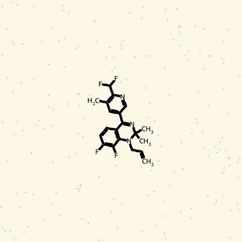 C=CCN1c2c(ccc(F)c2F)C(c2cnc(C(F)F)c(C)c2)=NC1(C)C